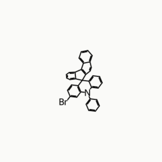 Brc1ccc2c(c1)N(c1ccccc1)c1ccccc1C21c2ccccc2-c2c1ccc1ccccc21